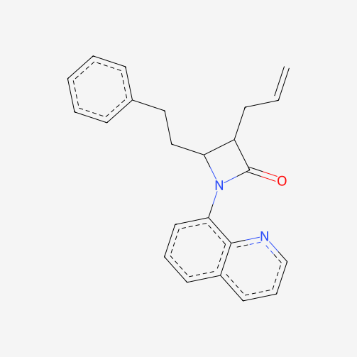 C=CCC1C(=O)N(c2cccc3cccnc23)C1CCc1ccccc1